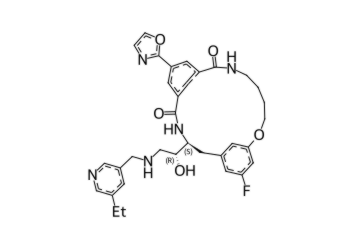 CCc1cncc(CNC[C@@H](O)[C@@H]2Cc3cc(F)cc(c3)OCCCCNC(=O)c3cc(cc(-c4ncco4)c3)C(=O)N2)c1